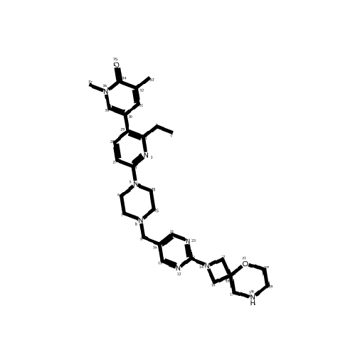 CCc1nc(N2CCN(Cc3cnc(N4CC5(CNCCO5)C4)nc3)CC2)ccc1-c1cc(C)c(=O)n(C)c1